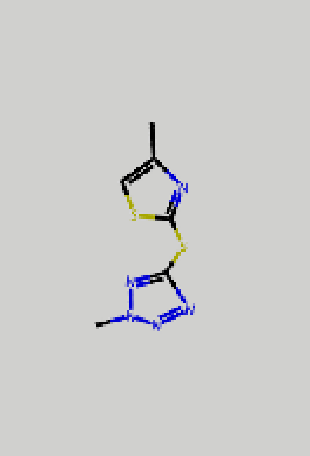 Cc1csc(Sc2nnn(C)n2)n1